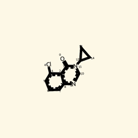 O=c1c2c(Cl)cccc2ncn1C1CC1